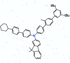 Cc1cc(-c2cc(C(C)(C)C)cc(C(C)(C)C)c2)ccc1-c1ccc(N(c2ccc(-c3ccc(C4CCCCC4)cc3)cc2)c2ccc3c(c2)C(C)(C)c2ccccc2-3)cc1